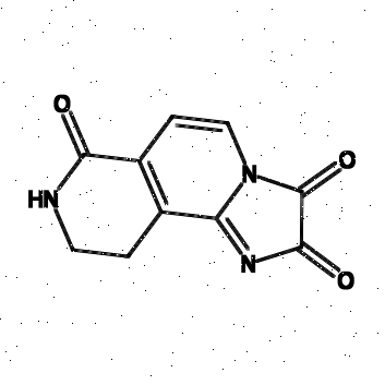 O=C1N=C2C3=C(C=CN2C1=O)C(=O)NCC3